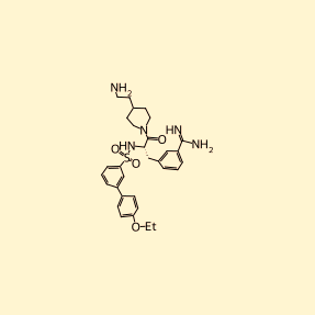 CCOc1ccc(-c2cccc(S(=O)(=O)N[C@@H](Cc3cccc(C(=N)N)c3)C(=O)N3CCC(CCN)CC3)c2)cc1